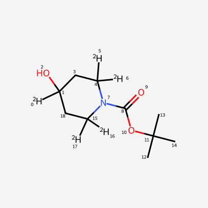 [2H]C1(O)CC([2H])([2H])N(C(=O)OC(C)(C)C)C([2H])([2H])C1